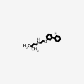 CC(C)CCNCCOc1cccc(-c2ccccc2F)c1